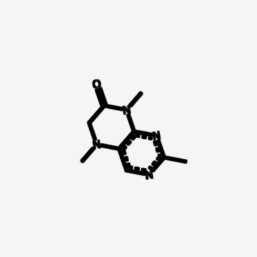 Cc1ncc2c(n1)N(C)C(=O)CN2C